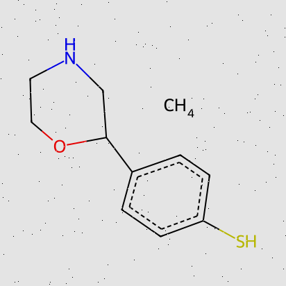 C.Sc1ccc(C2CNCCO2)cc1